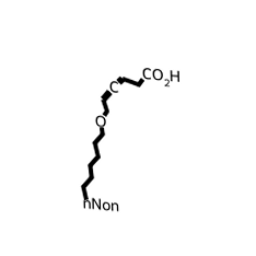 CCCCCCCCCCCCCCCOCC=C=CCC(=O)O